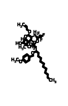 C=CCO[C@H]1O[C@@H]2C(O)C(C)(C)[C@]2(O)[C@H](OCC[C@@H](CCCCCCCCCCC)OCc2ccc(OC)cc2)[C@H]1NC(=O)C(F)(F)F